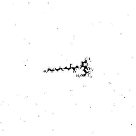 C=C/C(C)=C/C1(C)SC(=C)C=C1OCC(=O)NCCOCCOCCO